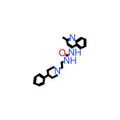 Cc1cc(NC(=O)NCCN2CCC(c3ccccc3)CC2)c2ccccc2n1